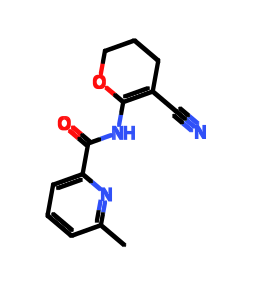 Cc1cccc(C(=O)NC2=C(C#N)CCCO2)n1